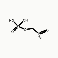 O=[PH2]COP(=O)(O)O